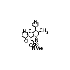 CNS(=O)(=O)c1cc(-c2ccccc2Cl)c2c(C)c(-c3ccncc3)c(C)cc2n1